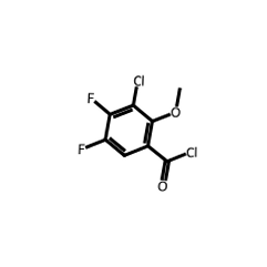 COc1c(C(=O)Cl)cc(F)c(F)c1Cl